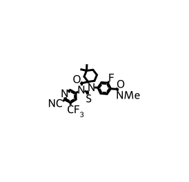 CNC(=O)c1ccc(N2C(=S)N(c3cnc(C#N)c(C(F)(F)F)c3)C(=O)C23CCCC(C)(C)C3)cc1F